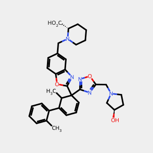 Cc1ccccc1C1=CC=CC(c2noc(CN3CC[C@@H](O)C3)n2)(c2nc3cc(CN4CCCC[C@H]4C(=O)O)ccc3o2)C1C